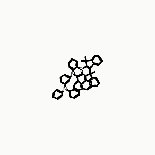 CC1(C)C2=C(c3ccccc31)C(C)(c1ccccc1)c1c3c(c4cccc5c4c1CC=C5)N(c1cccc(N(c4ccccc4)c4ccccc4)c1)c1ccccc1B23